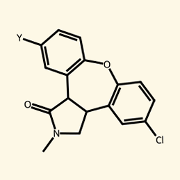 CN1CC2c3cc(Cl)ccc3Oc3cc[c]([Y])cc3C2C1=O